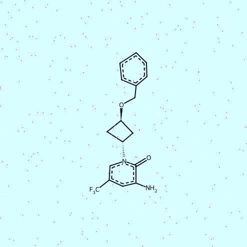 Nc1cc(C(F)(F)F)cn([C@H]2C[C@H](OCc3ccccc3)C2)c1=O